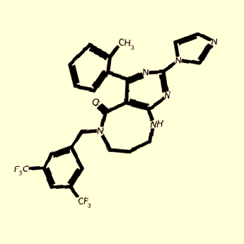 Cc1ccccc1-c1nc(-n2ccnc2)nc2c1C(=O)N(Cc1cc(C(F)(F)F)cc(C(F)(F)F)c1)CCCN2